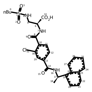 CCCCS(=O)(=O)NC[C@H](NC(=O)c1ccc(C(=O)N[C@H](C)c2cccc3ccccc23)cc1Cl)C(=O)O